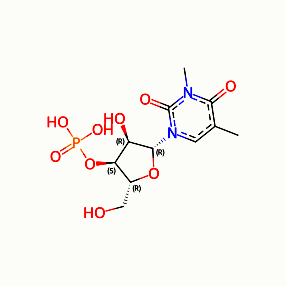 Cc1cn([C@@H]2O[C@H](CO)[C@@H](OP(=O)(O)O)[C@H]2O)c(=O)n(C)c1=O